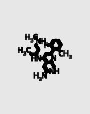 CCC(CCNC)Nc1cc(-c2c(C)cccc2F)nc2c1C=C(N)NC2